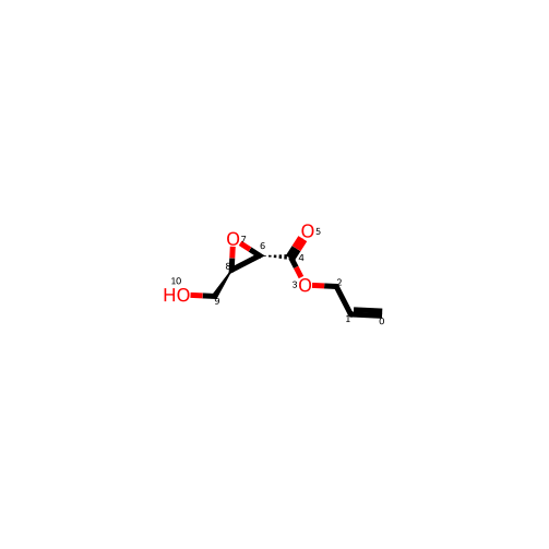 C=CCOC(=O)[C@H]1O[C@@H]1CO